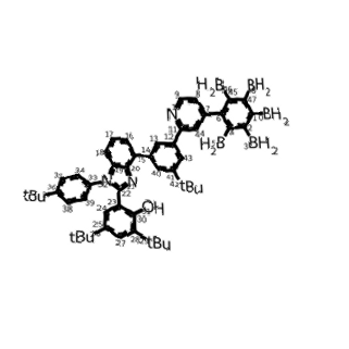 Bc1c(B)c(B)c(-c2ccnc(-c3cc(-c4cccc5c4nc(-c4cc(C(C)(C)C)cc(C(C)(C)C)c4O)n5-c4ccc(C(C)(C)C)cc4)cc(C(C)(C)C)c3)c2)c(B)c1B